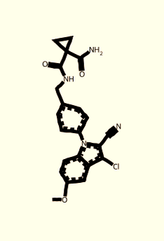 COc1ccc2c(c1)c(Cl)c(C#N)n2-c1ccc(CNC(=O)C2(C(N)=O)CC2)cc1